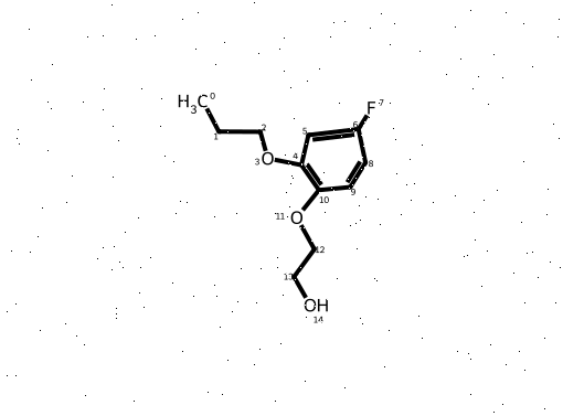 CCCOc1cc(F)ccc1OCCO